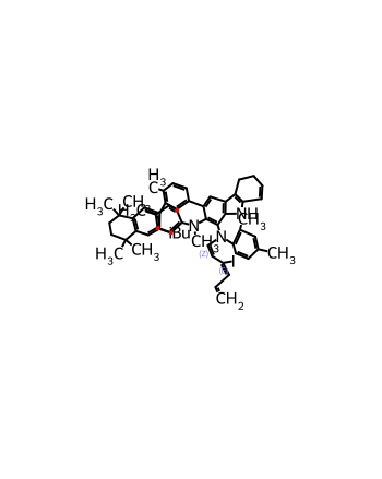 C=C/C=C(I)\C=C/N(c1ccc(C)cc1C)c1c(N(C)c2ccc(C)cc2)c(-c2ccc(C)c(-c3cc4c(cc3C(C)CC)C(C)(C)CCC4(C)C)c2)cc2c3c([nH]c12)C=CCC3